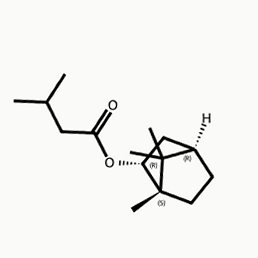 CC(C)CC(=O)O[C@@H]1C[C@H]2CC[C@@]1(C)C2(C)C